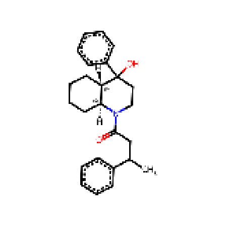 CC(CC(=O)N1CCC(O)(c2ccccc2)[C@H]2CCCC[C@@H]21)c1ccccc1